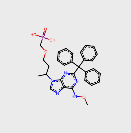 CONc1nc(C(c2ccccc2)(c2ccccc2)c2ccccc2)nc2c1ncn2C(C)CCOCP(=O)(O)O